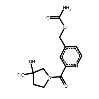 NC(=O)OCc1ccnc(C(=O)N2CCC(O)(C(F)(F)F)C2)c1